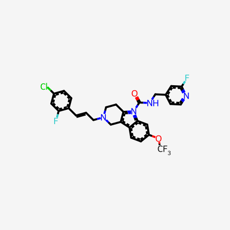 O=C(NCc1ccnc(F)c1)n1c2c(c3ccc(OC(F)(F)F)cc31)CN(CC=Cc1ccc(Cl)cc1F)CC2